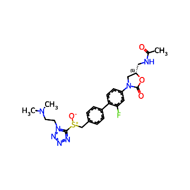 CC(=O)NC[C@H]1CN(c2ccc(-c3ccc(C[S+]([O-])c4nnnn4CCN(C)C)cc3)c(F)c2)C(=O)O1